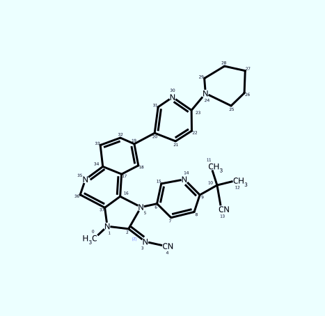 Cn1/c(=N/C#N)n(-c2ccc(C(C)(C)C#N)nc2)c2c3cc(-c4ccc(N5CCCCC5)nc4)ccc3ncc21